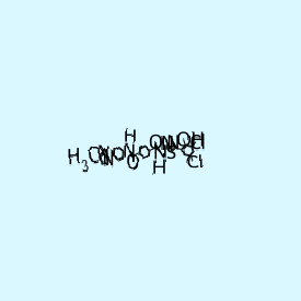 Cc1ccn(-c2ccc(NC(=O)c3ccc(C(=O)Nc4nnc(-c5cc(Cl)cc(Cl)c5O)s4)cc3)cc2)n1